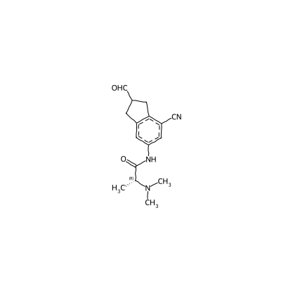 C[C@H](C(=O)Nc1cc(C#N)c2c(c1)CC(C=O)C2)N(C)C